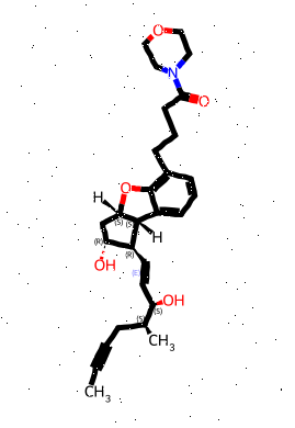 CC#CC[C@H](C)[C@H](O)/C=C/[C@@H]1[C@H]2c3cccc(CCCC(=O)N4CCOCC4)c3O[C@H]2C[C@H]1O